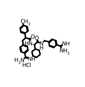 Cc1ccc(C(Cc2ccc(C(=N)N)cc2)C(=O)N[C@H](C(=O)NCc2ccc(C(=N)N)cc2)C2CCCCC2)cc1.Cl